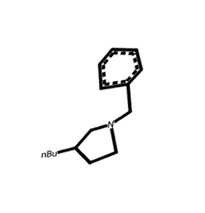 CCCCC1CCN(Cc2ccccc2)C1